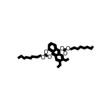 CCCCCCCCOC(=O)Oc1c2ccccc2c(OC(=O)OCCCCCCCC)c2cc(CC)c(CC)cc12